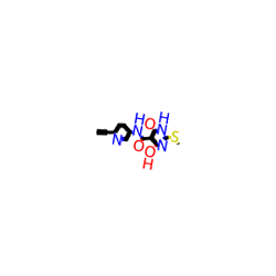 C#Cc1ccc(NC(=O)c2c(O)nc(SC)[nH]c2=O)cn1